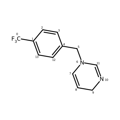 FC(F)(F)c1ccc(CN2C=CCN=C2)cc1